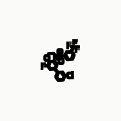 O=S(=O)(c1cccc(C(F)(F)F)c1)N1CCOc2c(F)cc(-c3cccc(Cl)c3)cc21